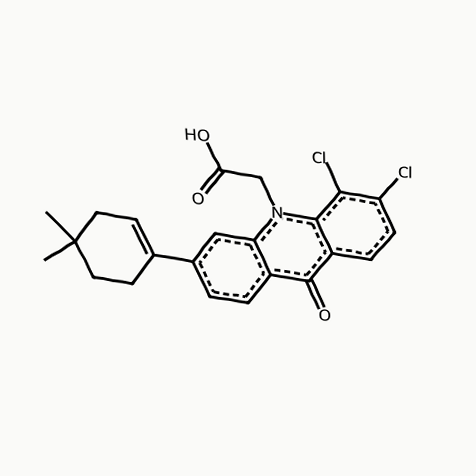 CC1(C)CC=C(c2ccc3c(=O)c4ccc(Cl)c(Cl)c4n(CC(=O)O)c3c2)CC1